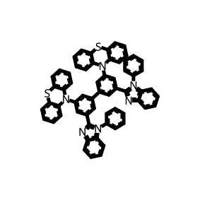 c1ccc(-n2c(-c3cc(-c4cc(-c5nc6ccccc6n5-c5ccccc5)cc(N5c6ccccc6Sc6ccccc65)c4)cc(N4c5ccccc5Sc5ccccc54)c3)nc3ccccc32)cc1